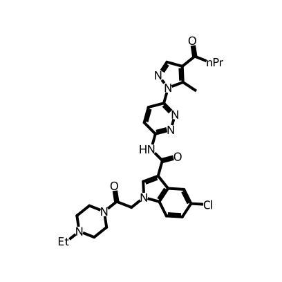 CCCC(=O)c1cnn(-c2ccc(NC(=O)c3cn(CC(=O)N4CCN(CC)CC4)c4ccc(Cl)cc34)nn2)c1C